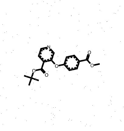 COC(=O)c1ccc(Oc2cnccc2C(=O)OC(C)(C)C)cc1